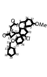 COc1ccc(CN2C(=O)CN3C(=O)[C@@H](OCc4ccccc4)[C@]3(c3ccccc3)c3cc(Cl)ccc32)cc1